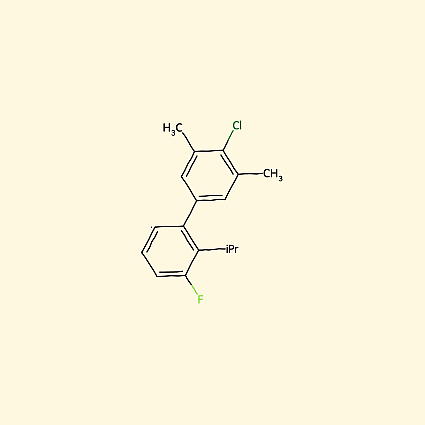 Cc1cc(-c2[c]ccc(F)c2C(C)C)cc(C)c1Cl